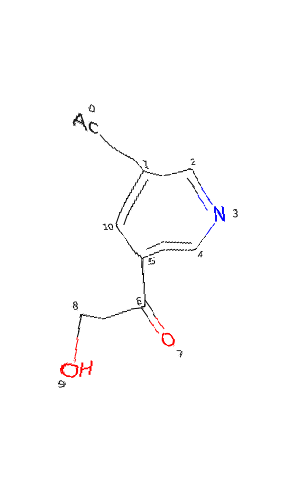 CC(=O)c1cncc(C(=O)CO)c1